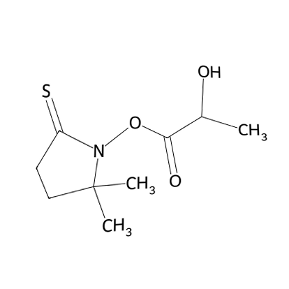 CC(O)C(=O)ON1C(=S)CCC1(C)C